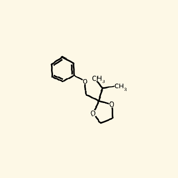 CC(C)C1(COc2ccccc2)OCCO1